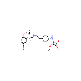 CCOc1c(N[C@H]2CC[C@H](CCN3C[C@H]4COc5ccc(C#N)cc5[C@@H]4C3)CC2)c(=O)c1=O